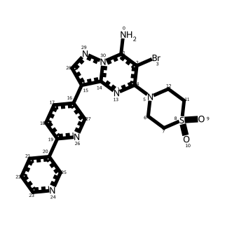 Nc1c(Br)c(N2CCS(=O)(=O)CC2)nc2c(-c3ccc(-c4cccnc4)nc3)cnn12